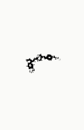 COc1ccc(CNC2COC(CCc3ccnc4ccc(OC)cc34)OC2)cc1